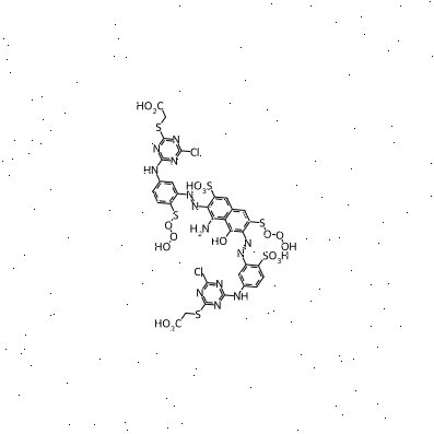 Nc1c(N=Nc2cc(Nc3nc(Cl)nc(SCC(=O)O)n3)ccc2SOOO)c(S(=O)(=O)O)cc2cc(SOOO)c(N=Nc3cc(Nc4nc(Cl)nc(SCC(=O)O)n4)ccc3S(=O)(=O)O)c(O)c12